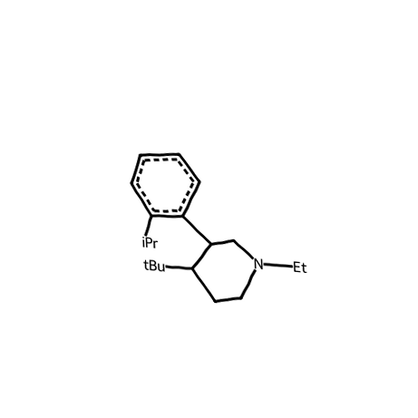 CCN1CCC(C(C)(C)C)C(c2ccccc2C(C)C)C1